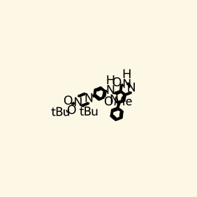 COc1cc(N2CCN(C(=O)OC(C)(C)C)C(C(C)(C)C)C2)ccc1Nc1nc(-c2ccccc2)cc2cn[nH]c(=O)c12